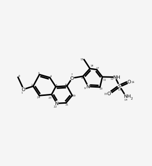 COc1ccc2c(Oc3ncc(NS(N)(=O)=O)cc3C)ccnc2c1